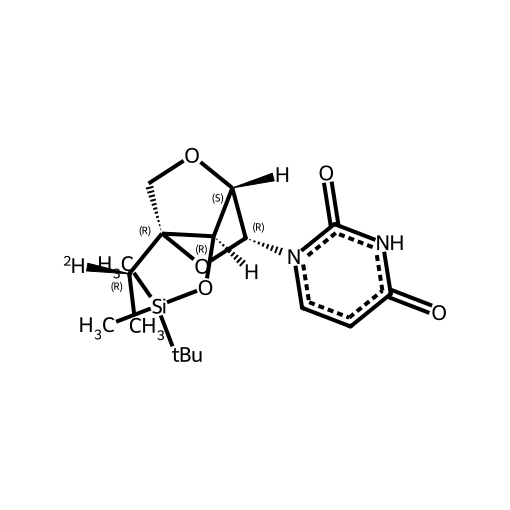 [2H][C@H](C)[C@]12CO[C@H]([C@H](n3ccc(=O)[nH]c3=O)O1)[C@H]2O[Si](C)(C)C(C)(C)C